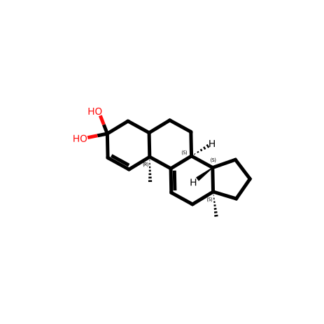 C[C@]12CC=C3[C@@H](CCC4CC(O)(O)C=C[C@]34C)[C@@H]1CCC2